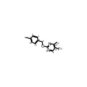 Cc1ccc(COc2ncc(F)c(C)n2)cc1